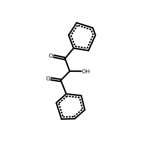 O=C([C](O)C(=O)c1ccccc1)c1ccccc1